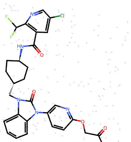 CNC(=O)COc1ccc(-n2c(=O)n(C[C@H]3CC[C@H](NC(=O)c4cc(Cl)cnc4C(F)F)CC3)c3ccccc32)cn1